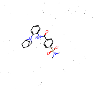 CN(C)S(=O)(=O)c1ccc(C(=O)Nc2ccccc2N2CC3CCC2C3)cc1